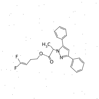 CC(C(=O)OCCC=C(F)F)n1nc(-c2ccccc2)cc1-c1ccccc1